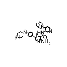 CN(c1ccc(-c2cnc(N)c(C(=O)Nc3cnccc3N3CCOCC3)n2)cc1)C1CCN(I)CC1